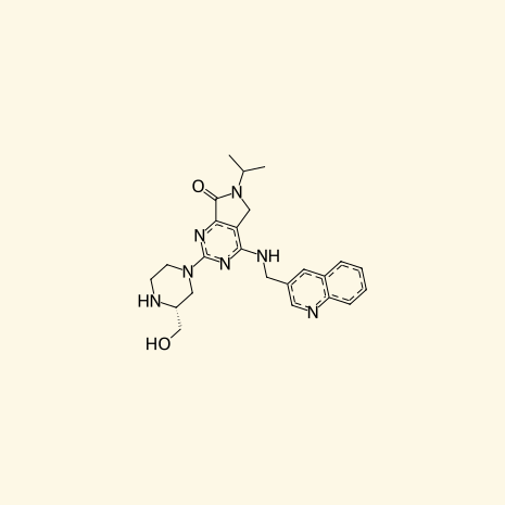 CC(C)N1Cc2c(NCc3cnc4ccccc4c3)nc(N3CCN[C@@H](CO)C3)nc2C1=O